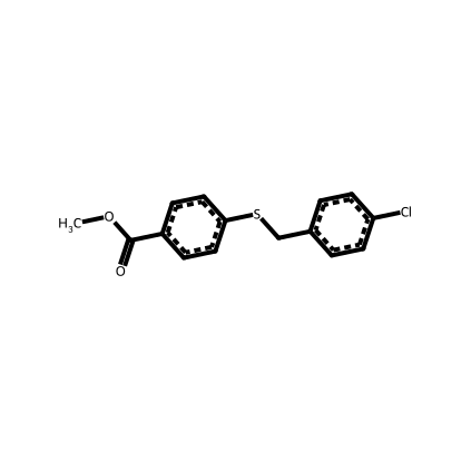 COC(=O)c1ccc(SCc2ccc(Cl)cc2)cc1